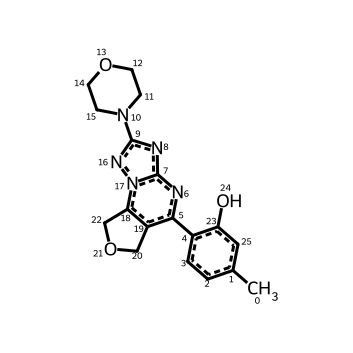 Cc1ccc(-c2nc3nc(N4CCOCC4)nn3c3c2COC3)c(O)c1